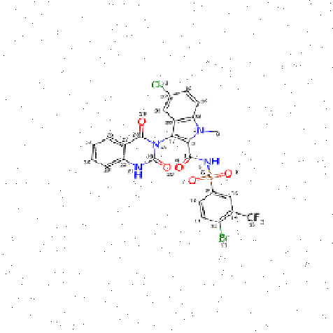 Cn1c(C(=O)NS(=O)(=O)c2ccc(Br)c(C(F)(F)F)c2)c(-n2c(=O)[nH]c3ccccc3c2=O)c2cc(Cl)ccc21